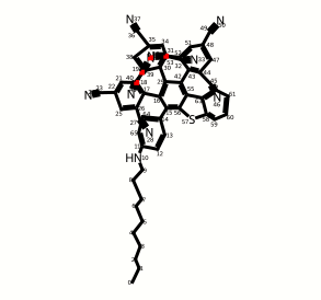 CCCCCCCCCCNc1ccc(-c2c(-c3c(C#N)cc(C#N)cc3C#N)c(-c3c(C#N)cc(C#N)cc3C#N)c(-c3c(C#N)cc(C#N)cc3C#N)c3c2sc2ccccc23)cc1